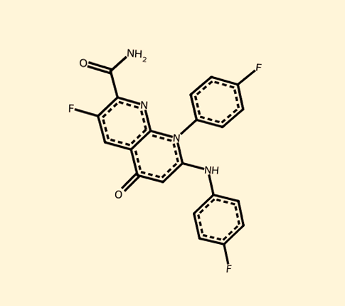 NC(=O)c1nc2c(cc1F)c(=O)cc(Nc1ccc(F)cc1)n2-c1ccc(F)cc1